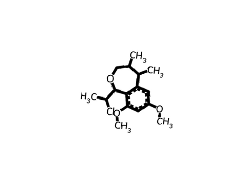 COc1cc(OC)c2c(c1)C(C)C(C)COC2C(C)Cl